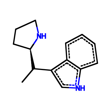 CC(c1c[nH]c2ccccc12)[C@H]1CCCN1